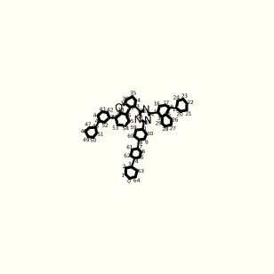 c1ccc(-c2ccc(-c3ccc(-c4nc(-c5ccc(-c6ccccc6)c6ccccc56)nc(-c5cccc6oc7c(-c8cccc(-c9ccccc9)c8)cccc7c56)n4)cc3)cc2)cc1